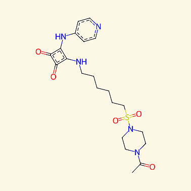 CC(=O)N1CCN(S(=O)(=O)CCCCCCNc2c(Nc3ccncc3)c(=O)c2=O)CC1